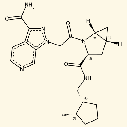 C[C@H]1CCC[C@H]1CNC(=O)[C@@H]1C[C@H]2C[C@H]2N1C(=O)Cn1nc(C(N)=O)c2ccncc21